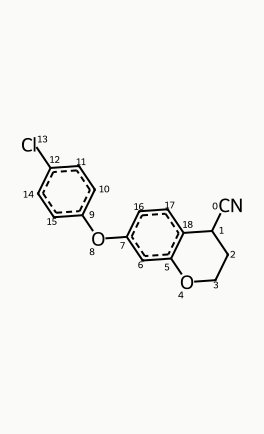 N#CC1CCOc2cc(Oc3ccc(Cl)cc3)ccc21